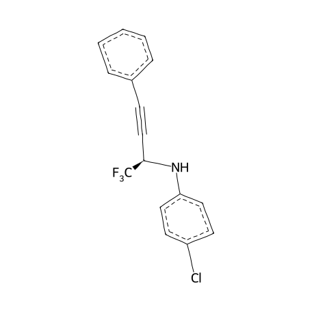 FC(F)(F)[C@@H](C#Cc1ccccc1)Nc1ccc(Cl)cc1